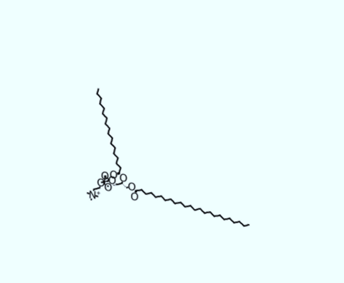 CCCCCCCCCCCCCCCCCCCCCCCC(=O)OC[C@H](COP(=O)([O-])OCC[N+](C)(C)C)OC(=O)CCCCCCCCCCCCCCCCC